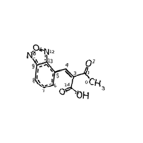 CC(=O)C(=Cc1cccc2nonc12)C(=O)O